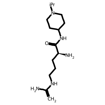 C=C(N)NCCC[C@H](N)C(=O)NC1CCN(C(C)C)CC1